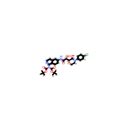 CC(C)(C)OC(=O)N(C(=O)OC(C)(C)C)c1nccc2cc(NC(=O)[C@H](O)[C@H]3OCCN(c4ccc(Cl)cc4)C3=O)ccc12